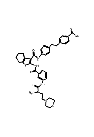 CN(CCN1CCOCC1)C(=O)Nc1cccc(C(=O)Nc2sc3c(c2C(=O)Nc2ccc(CCc4ccc(C(=O)O)cc4)cc2)CCCC3)c1